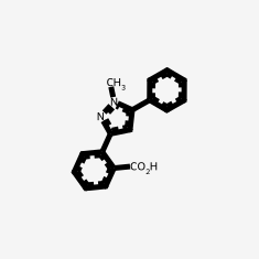 Cn1nc(-c2ccccc2C(=O)O)cc1-c1ccccc1